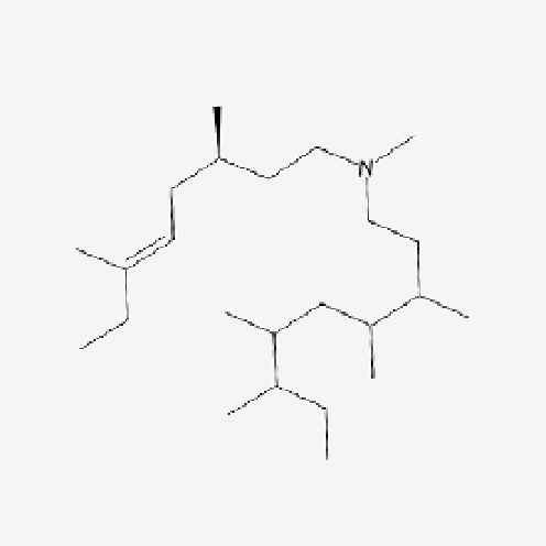 CC/C(C)=C/C[C@@H](C)CCN(C)CCC(C)C(C)CC(C)C(C)CC